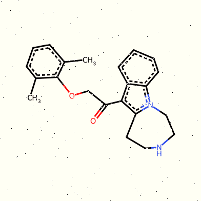 Cc1cccc(C)c1OCC(=O)c1c2n(c3ccccc13)CCNCC2